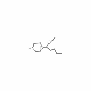 CCCCC(OCC)N1CCNCC1